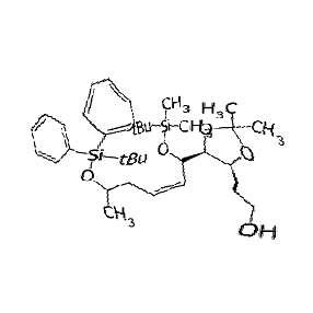 CC(C/C=C\C(O[Si](C)(C)C(C)(C)C)[C@H]1OC(C)(C)O[C@H]1CCO)O[Si](c1ccccc1)(c1ccccc1)C(C)(C)C